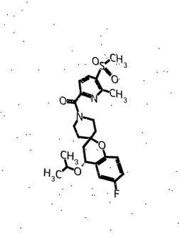 Cc1nc(C(=O)N2CCC3(CC2)C[C@@H](OC(C)C)c2cc(F)ccc2O3)ccc1S(C)(=O)=O